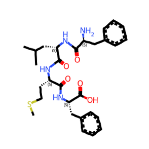 CSCC[C@H](NC(=O)[C@H](CC(C)C)NC(=O)[C@@H](N)Cc1ccccc1)C(=O)N[C@@H](Cc1ccccc1)C(=O)O